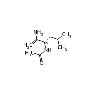 C=C(N)[C@H](CC(C)C)NC(C)=O